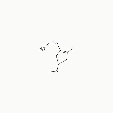 CSN1CC(C)=C(/C=C\N)C1